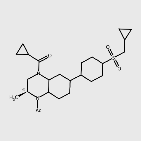 CC(=O)N1C2CCC(C3CCC(S(=O)(=O)CC4CC4)CC3)CC2N(C(=O)C2CC2)C[C@@H]1C